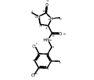 Cc1cc(Cl)cc(Cl)c1CNC(=O)C1CN(C)C(=O)N1C